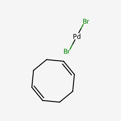 C1=CCCC=CCC1.[Br][Pd][Br]